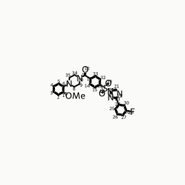 COc1ccccc1N1CCN(C(=O)c2ccc(S(=O)(=O)n3cnc(-c4cccc(F)c4)n3)cc2)CC1